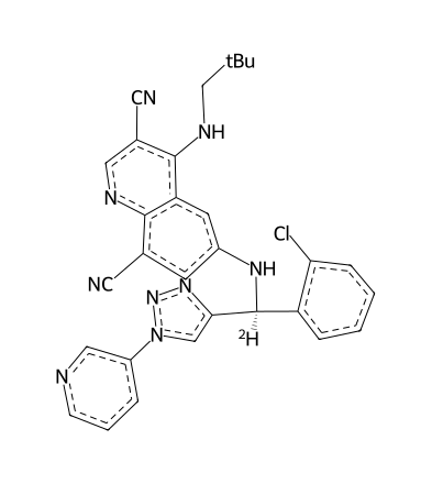 [2H][C@@](Nc1cc(C#N)c2ncc(C#N)c(NCC(C)(C)C)c2c1)(c1cn(-c2cccnc2)nn1)c1ccccc1Cl